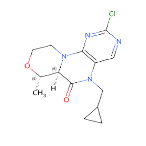 C[C@@H]1OCCN2c3nc(Cl)ncc3N(CC3CC3)C(=O)[C@@H]12